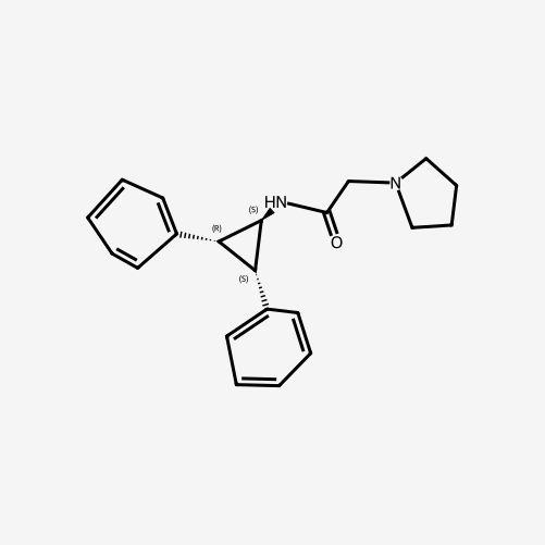 O=C(CN1CCCC1)N[C@@H]1[C@@H](c2ccccc2)[C@H]1c1ccccc1